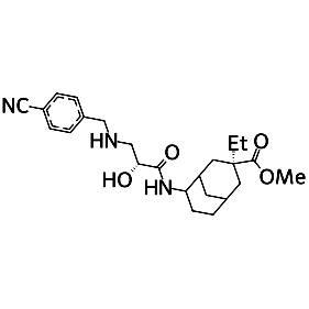 CC[C@]1(C(=O)OC)CC2CCC(NC(=O)[C@H](O)CNCc3ccc(C#N)cc3)C(C2)C1